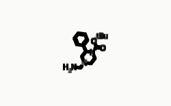 CC(C)(C)OC(=O)N1CCN(CN)CC1c1ccccc1